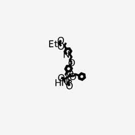 CCC(=O)OC(C)c1ccc(CCOc2ccc(C[C@@]3(C(=O)OCc4ccccc4)SC(=O)NC3=O)cc2)nc1